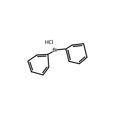 Cl.c1cc[c]([Bi][c]2ccccc2)cc1